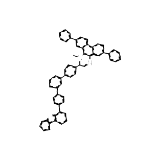 CN1c2c(c3cc(-c4ccccc4)ccc3c3ccc(-c4ccccc4)cc23)N=CC1c1ccc(-c2cccc(-c3ccc(-c4cccc5c4oc4ccccc45)cc3)c2)cc1